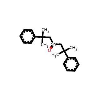 CC(C)([CH2][Sn](=[O])[CH2]C(C)(C)c1ccccc1)c1ccccc1